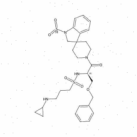 O=C([C@@H](COCc1ccccc1)NS(=O)(=O)CCCNC1CC1)N1CCC2(CC1)CN([SH](=O)=O)c1ccccc12